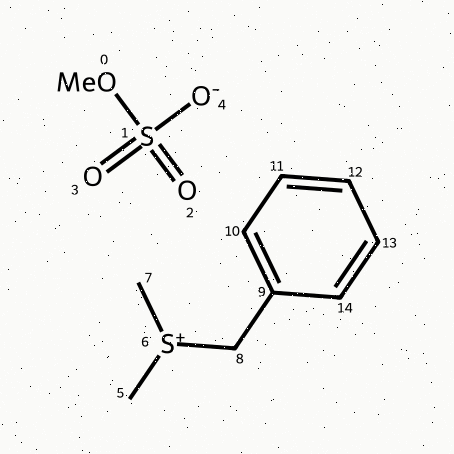 COS(=O)(=O)[O-].C[S+](C)Cc1ccccc1